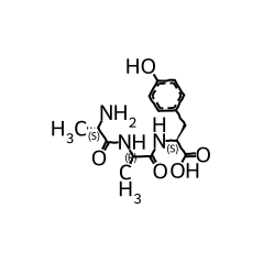 C[C@H](N)C(=O)N[C@H](C)C(=O)N[C@@H](Cc1ccc(O)cc1)C(=O)O